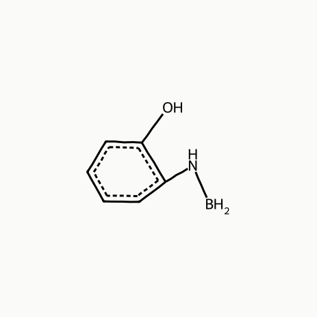 BNc1ccccc1O